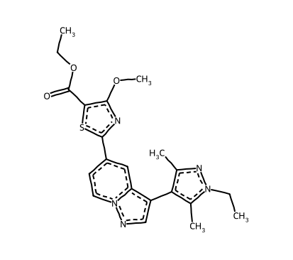 CCOC(=O)c1sc(-c2ccn3ncc(-c4c(C)nn(CC)c4C)c3c2)nc1OC